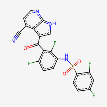 N#Cc1ccnc2[nH]cc(C(=O)c3c(F)ccc(NS(=O)(=O)c4ccc(F)cc4F)c3F)c12